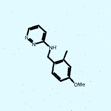 COc1ccc(CNc2cccnn2)c(C)c1